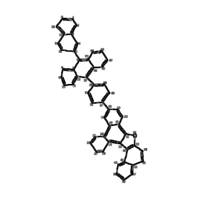 c1ccc2cc(-c3c4ccccc4c(-c4ccc(-c5ccc6c(c5)c5ccccc5c5c6oc6ccc7ccccc7c65)cc4)c4ccccc34)ccc2c1